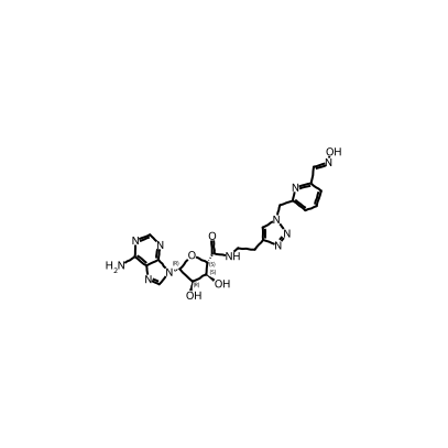 Nc1ncnc2c1ncn2[C@@H]1O[C@H](C(=O)NCCc2cn(Cc3cccc(C=NO)n3)nn2)[C@@H](O)[C@H]1O